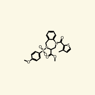 COC(=O)C1CN(C(=O)c2sccc2C)c2ccccc2CN1S(=O)(=O)c1ccc(OC)cc1